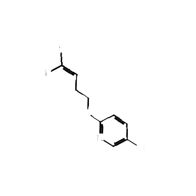 FC(F)=CCCSc1ccc(C(F)(F)F)cn1